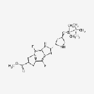 COC(=O)C1Cc2c(c(F)c3[nH]c([C@@H]4C[C@@H](O[Si](C)(C)C(C)(C)C)CN4)nc3c2F)C1